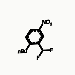 CCCCc1ccc([N+](=O)[O-])cc1C(F)F